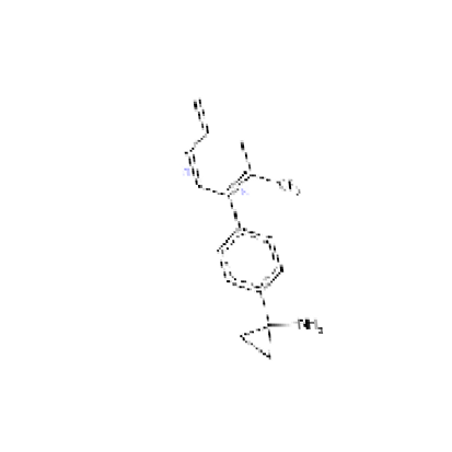 C=C/C=C\C(=C(/C)C(F)(F)F)c1ccc(C2(N)CC2)cc1